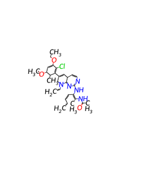 C=C/C=C\C(NC1=NC=CC2C=C(C3=C(Cl)C(OCC)=CC(OC)C3C)CN(C=C)C2=N1)=C(/C)NC(C)=O